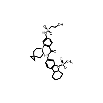 CS(=O)(=O)N1c2cc(NC(=O)c3ccc(NS(=O)(=O)CCO)cc3N3CCC4(CC3)CC4)ccc2C2CCCCC21